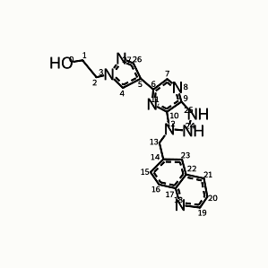 OCCn1cc(-c2cnc3c(n2)N(Cc2ccc4ncccc4c2)NN3)cn1